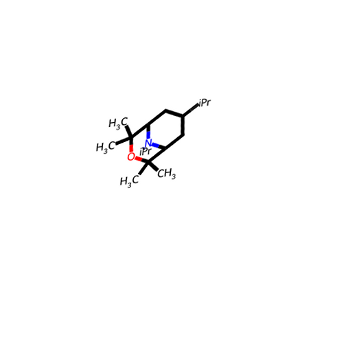 CC(C)C1CC2N(C(C)C)C(C1)C(C)(C)OC2(C)C